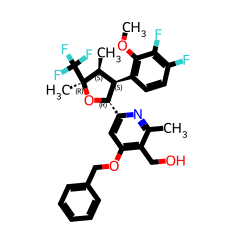 COc1c([C@H]2[C@H](c3cc(OCc4ccccc4)c(CO)c(C)n3)O[C@@](C)(C(F)(F)F)[C@H]2C)ccc(F)c1F